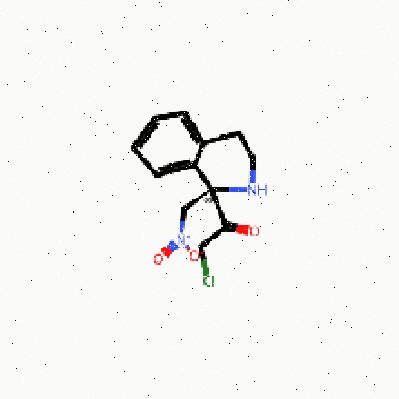 O=C(CCl)[C@@]1(C[N+](=O)[O-])NCCc2ccccc21